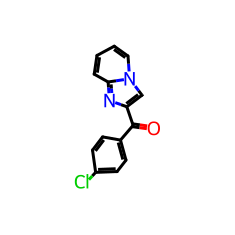 O=C(c1ccc(Cl)cc1)c1cn2ccccc2n1